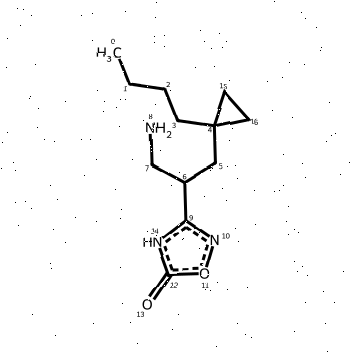 CCCCC1(CC(CN)c2noc(=O)[nH]2)CC1